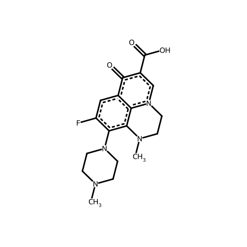 CN1CCN(c2c(F)cc3c(=O)c(C(=O)O)cn4c3c2N(C)CC4)CC1